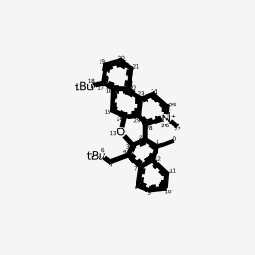 Cc1c2c(c(CC(C)(C)C)c3ccccc13)Oc1cc3c(C(C)(C)C)cccc3c3cc[n+](C)c-2c13